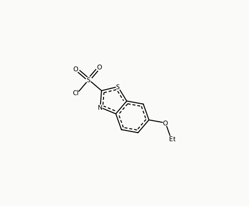 CCOc1ccc2nc(S(=O)(=O)Cl)sc2c1